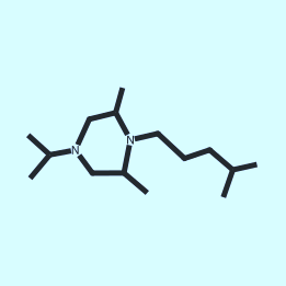 CC(C)CCCN1C(C)CN(C(C)C)CC1C